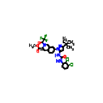 COC(=O)[C@@H]1Cc2ccc(-n3nc(C(C)(C)C)cc3NC(=O)Nc3cccc(Cl)c3Cl)cc2CN1C(=O)C(F)(F)F